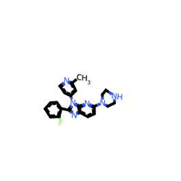 Cc1cc(-n2c(-c3ccccc3F)nc3ccc(N4CCNCC4)nc32)ccn1